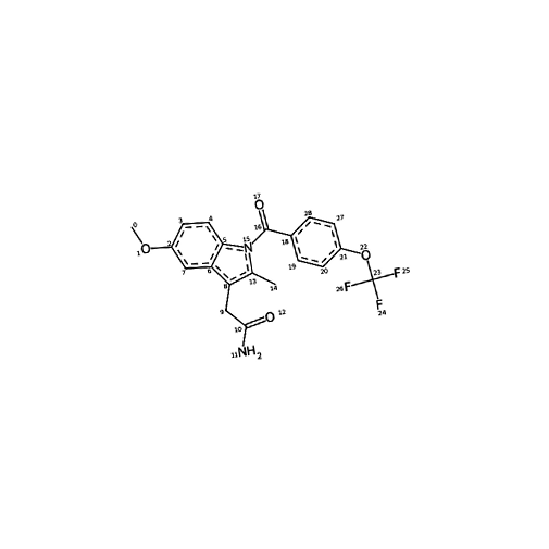 COc1ccc2c(c1)c(CC(N)=O)c(C)n2C(=O)c1ccc(OC(F)(F)F)cc1